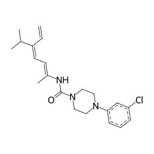 C=C/C(=C\C=C(/C)NC(=O)N1CCN(c2cccc(Cl)c2)CC1)C(C)C